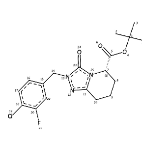 CC(C)(C)OC(=O)[C@@H]1CCCc2nn(Cc3ccc(Cl)c(F)c3)c(=O)n21